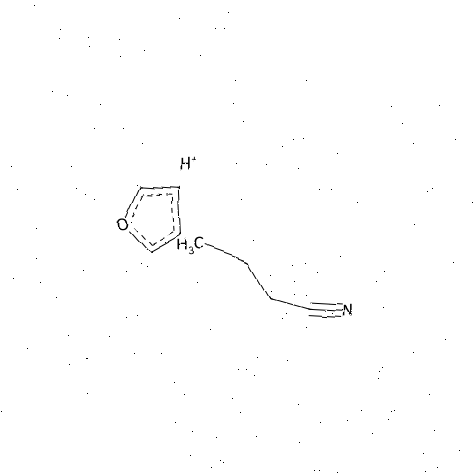 CCCC#N.[H+].c1ccoc1